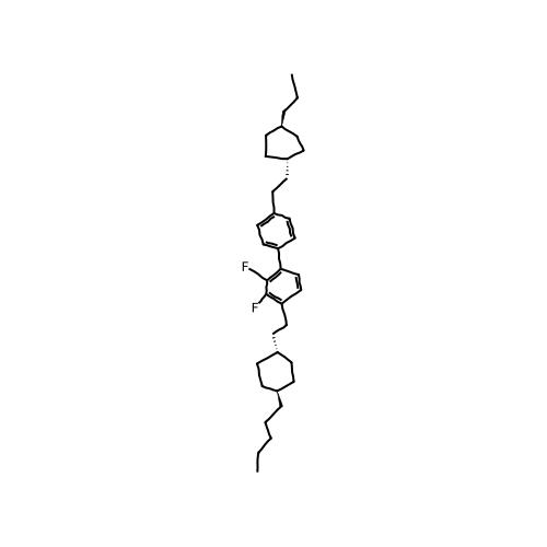 CCCCC[C@H]1CC[C@H](CCc2ccc(-c3ccc(CC[C@H]4CC[C@H](CCC)CC4)cc3)c(F)c2F)CC1